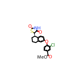 COC(=O)c1ccc(Oc2ccc3c(c2)CCC[C@H]3C2SC(=O)NC2=O)c(Cl)c1